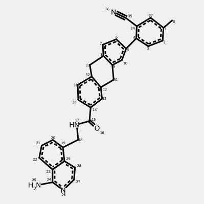 Cc1ccc(-c2ccc3c(c2)Cc2cc(C(=O)NCc4cccc5c(N)nccc45)ccc2C3)c(C#N)c1